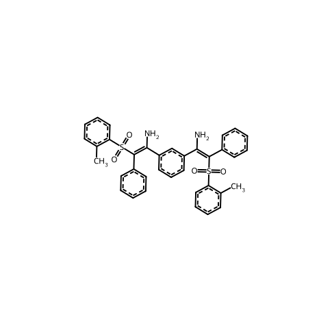 Cc1ccccc1S(=O)(=O)C(=C(N)c1cccc(C(N)=C(c2ccccc2)S(=O)(=O)c2ccccc2C)c1)c1ccccc1